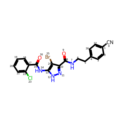 N#Cc1ccc(CCNC(=O)c2n[nH]c(NC(=O)c3ccccc3Cl)c2Br)cc1